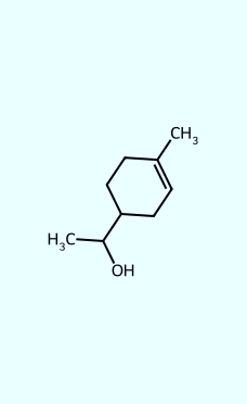 CC1=CCC(C(C)O)CC1